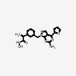 C=C(C(=O)NO)c1cccc(Cn2ncc3c(-c4ccco4)nc(N)nc32)c1